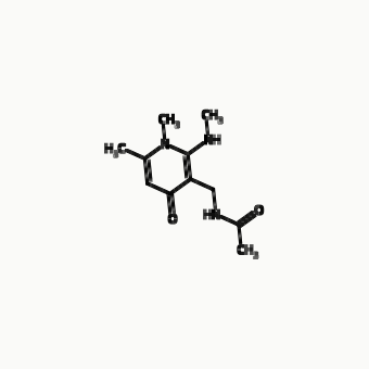 CNc1c(CNC(C)=O)c(=O)cc(C)n1C